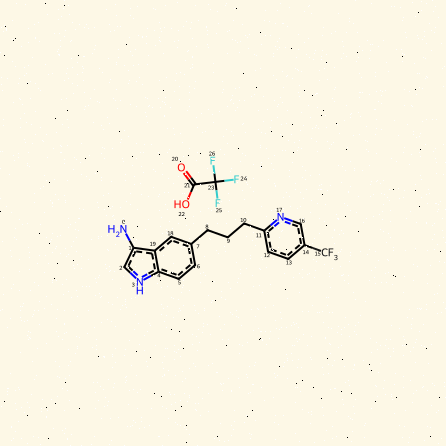 Nc1c[nH]c2ccc(CCCc3ccc(C(F)(F)F)cn3)cc12.O=C(O)C(F)(F)F